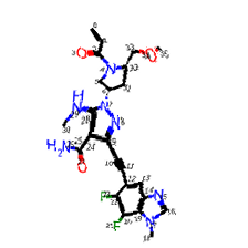 C=CC(=O)N1C[C@@H](n2nc(C#Cc3cc4ncn(C)c4c(F)c3F)c(C(N)=O)c2NC)C[C@@H]1COC